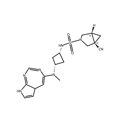 CN(C1=CC2C=CNC2=NC=N1)[C@H]1C[C@@H](NS(=O)(=O)N2C[C@@H]3C[C@]3(C#N)C2)C1